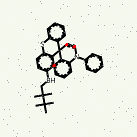 CC(C)(C)C(C)(C)CBc1ccc2c(c1)C1(c3ccccc3S2)c2ccccc2N(c2ccccc2)c2ccccc21